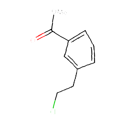 COC(=O)c1cccc(CCCl)c1